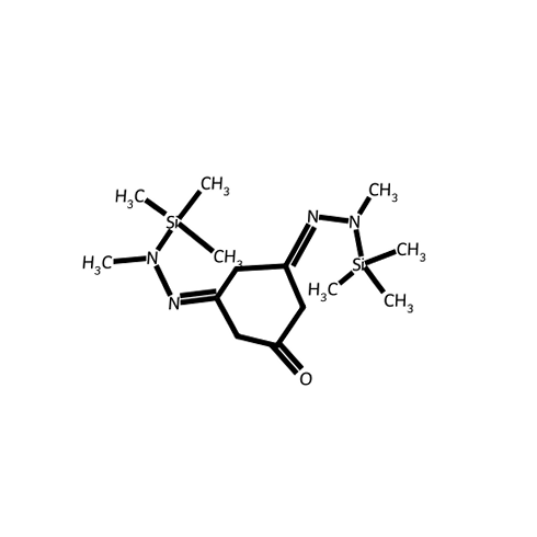 CN(/N=C1\CC(=O)C/C(=N/N(C)[Si](C)(C)C)C1)[Si](C)(C)C